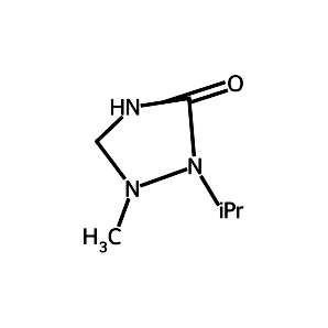 CC(C)N1C(=O)NCN1C